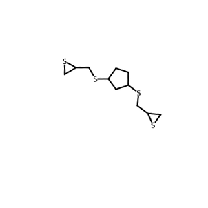 C1CC(SCC2CS2)CC1SCC1CS1